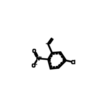 C=[C]c1cc(Cl)ccc1[N+](=O)[O-]